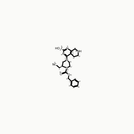 N#CC[C@H]1CN(c2nc(C(=O)O)nc3c2CCNC3)CCN1C(=O)OCc1ccccc1